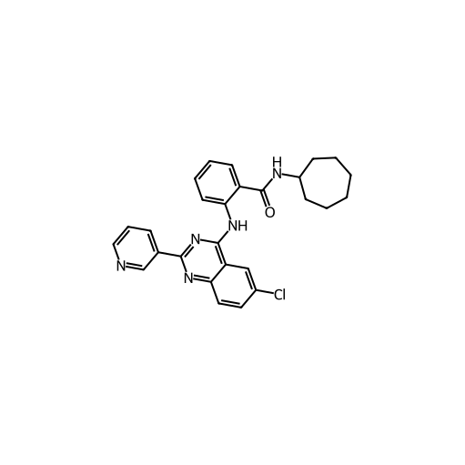 O=C(NC1CCCCCC1)c1ccccc1Nc1nc(-c2cccnc2)nc2ccc(Cl)cc12